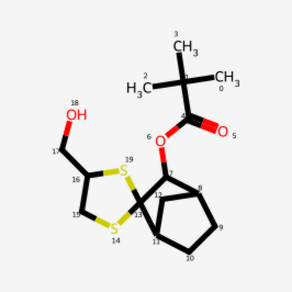 CC(C)(C)C(=O)OC1C2CCC(C2)C12SCC(CO)S2